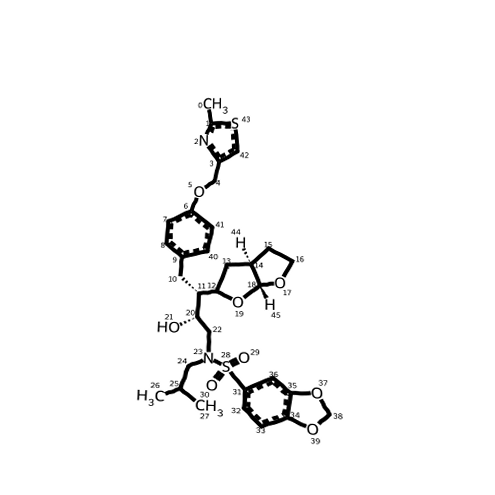 Cc1nc(COc2ccc(C[C@H](C3[C][C@H]4CCO[C@@H]4O3)[C@@H](O)CN(CC(C)C)S(=O)(=O)c3ccc4c(c3)OCO4)cc2)cs1